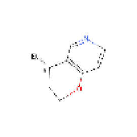 CC[C@H]1CCOc2ccncc21